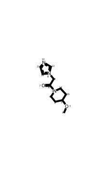 COC1CCN(C(=O)Cn2ccnc2)CC1